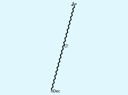 CCCCCCCCCCCCCCCCCCCCCCCCCCCCCCCCCCCCCCCCCCCCCCCCCC[N+](C)(C)C.[Cl-]